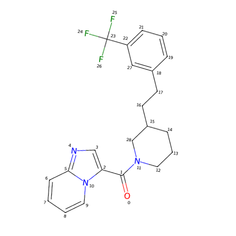 O=C(c1cnc2ccccn12)N1CCCC(CCc2cccc(C(F)(F)F)c2)C1